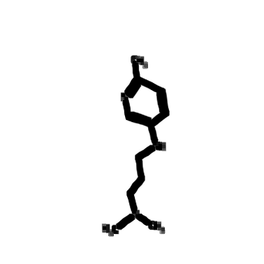 Cc1ccc(NCCCN(C)C)cn1